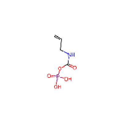 C=CCNC(=O)OP(=O)(O)O